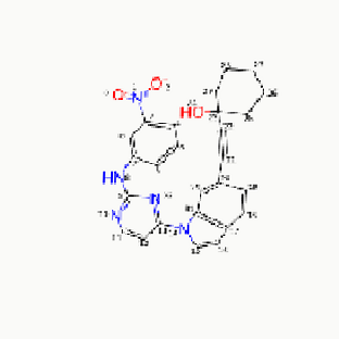 O=[N+]([O-])c1cccc(Nc2nccc(-n3ccc4ccc(C#CC5(O)CCCCC5)cc43)n2)c1